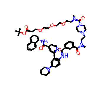 CN(CCN1CCN(C(=O)N(C)CCOCCOCCOCCC(=O)OC(C)(C)C)CC1)C(=O)c1cccc(C(=O)Nc2ccc(N3CCCCC3)cc2-c2cc(C(=O)N[C@H]3CCCc4ccccc43)ccn2)c1